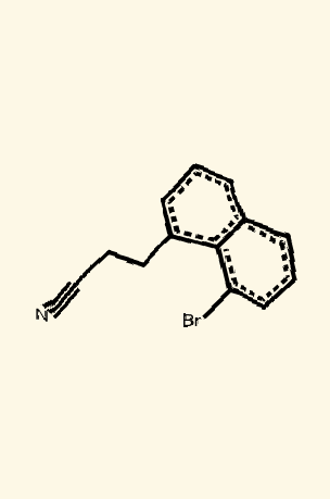 N#CCCc1cccc2cccc(Br)c12